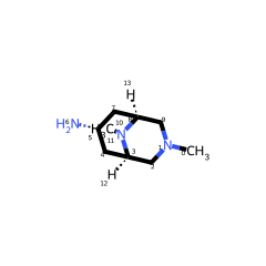 CN1C[C@H]2C[C@H](N)C[C@@H](C1)N2C